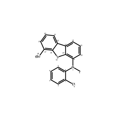 CCc1ccccc1N(C)c1cccc2c1sc1c(C(C)(C)C)cccc12